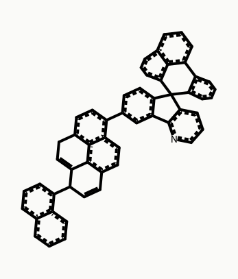 C1=CC(c2cccc3ccccc23)C2=CCc3ccc(-c4ccc5c(c4)-c4ncccc4C54c5ccccc5-c5cccc6cccc4c56)c4ccc1c2c34